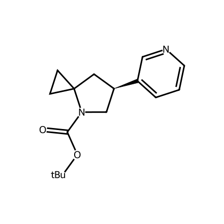 CC(C)(C)OC(=O)N1C[C@H](c2cccnc2)CC12CC2